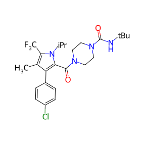 Cc1c(-c2ccc(Cl)cc2)c(C(=O)N2CCN(C(=O)NC(C)(C)C)CC2)n(C(C)C)c1C(F)(F)F